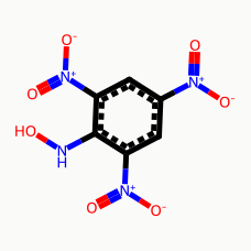 O=[N+]([O-])c1cc([N+](=O)[O-])c(NO)c([N+](=O)[O-])c1